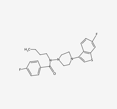 CCCCN(C(=O)c1ccc(F)cc1)N1CCN(c2csc3cc(F)ccc23)CC1